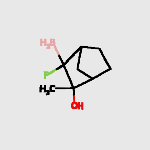 BC1(F)C2CCC(C2)C1(C)O